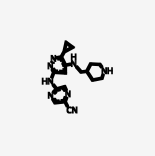 N#Cc1cnc(Nc2cc(NCC3CCNCC3)c(C3CC3)nn2)cn1